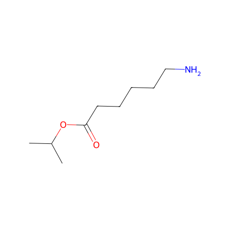 CC(C)OC(=O)CCCCCN